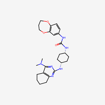 CN(C)c1nc(N[C@H]2CC[C@@H](NC(=O)Nc3ccc4c(c3)OCCCO4)CC2)nc2c1CCCC2